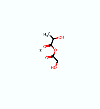 CC(O)C(=O)OC(=O)CO.[Zr]